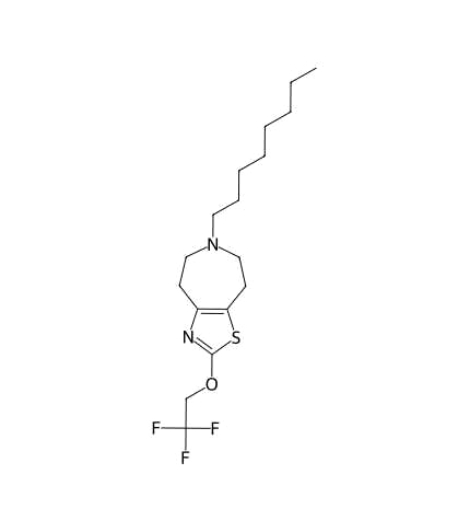 CCCCCCCCN1CCc2nc(OCC(F)(F)F)sc2CC1